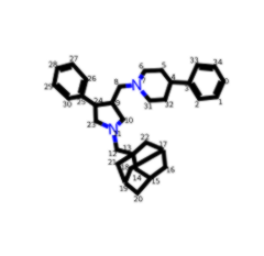 c1ccc(C2CCN(CC3CN(CC45CC6CC(CC(C6)C4)C5)CC3c3ccccc3)CC2)cc1